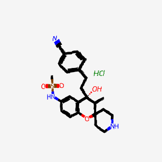 CC1C2(CCNCC2)Oc2ccc(NS(C)(=O)=O)cc2[C@@]1(O)CCc1ccc(C#N)cc1.Cl